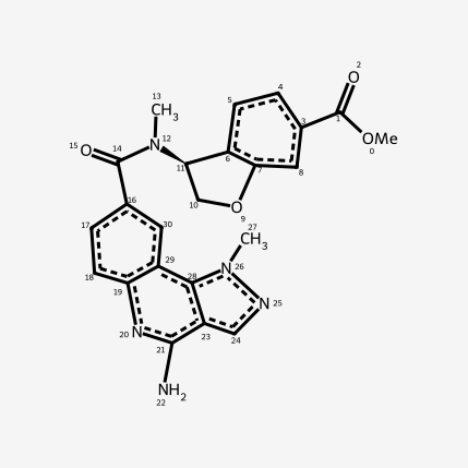 COC(=O)c1ccc2c(c1)OC[C@H]2N(C)C(=O)c1ccc2nc(N)c3cnn(C)c3c2c1